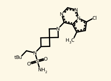 Cc1cc(Cl)n2ncnc(N3CC4(CC(N(CC(C)(C)C)S(N)(=O)=O)C4)C3)c12